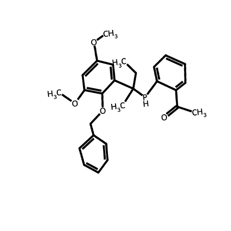 CCC(C)(Pc1ccccc1C(C)=O)c1cc(OC)cc(OC)c1OCc1ccccc1